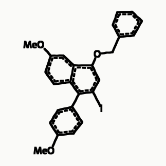 COc1ccc(-c2c(I)cc(OCc3ccccc3)c3cc(OC)ccc23)cc1